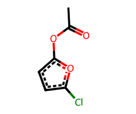 CC(=O)Oc1ccc(Cl)o1